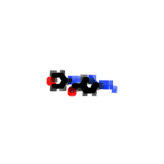 Nc1ccc(C(=O)NC2CCOCC2)cn1